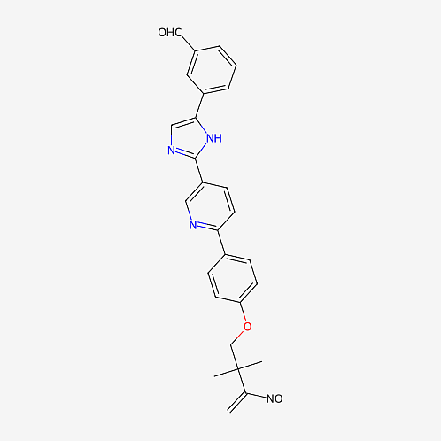 C=C(N=O)C(C)(C)COc1ccc(-c2ccc(-c3ncc(-c4cccc(C=O)c4)[nH]3)cn2)cc1